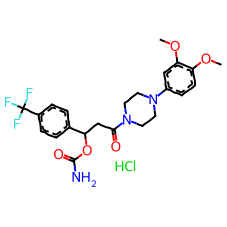 COc1ccc(N2CCN(C(=O)CC(OC(N)=O)c3ccc(C(F)(F)F)cc3)CC2)cc1OC.Cl